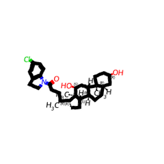 C[C@H](CCC(=O)N1CCc2cc(Cl)ccc21)[C@H]1CC[C@H]2[C@@H]3CC[C@@H]4C[C@H](O)CC[C@]4(C)[C@H]3C[C@H](O)[C@]12C